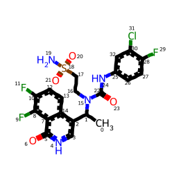 CC(c1c[nH]c(=O)c2c(F)c(F)ccc12)N(CCS(N)(=O)=O)C(=O)Nc1ccc(F)c(Cl)c1